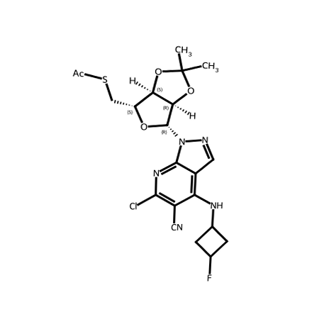 CC(=O)SC[C@H]1O[C@@H](n2ncc3c(NC4CC(F)C4)c(C#N)c(Cl)nc32)[C@@H]2OC(C)(C)O[C@@H]21